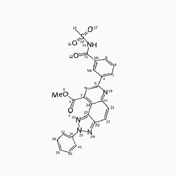 COC(=O)c1cc(-c2cccc(C(=O)NS(C)(=O)=O)c2)nc2ccc3nn(-c4ccccc4)nc3c12